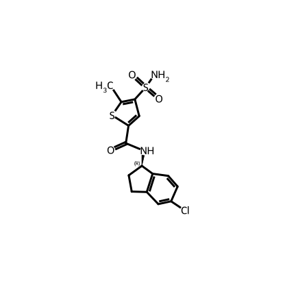 Cc1sc(C(=O)N[C@@H]2CCc3cc(Cl)ccc32)cc1S(N)(=O)=O